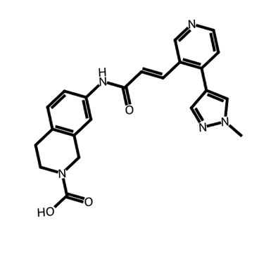 Cn1cc(-c2ccncc2C=CC(=O)Nc2ccc3c(c2)CN(C(=O)O)CC3)cn1